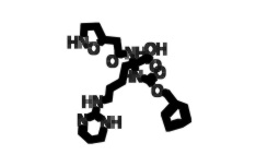 O=C(CC1CCNO1)NC(CCCCNC1N=CCCN1)(NC(=O)OCc1ccccc1)C(=O)O